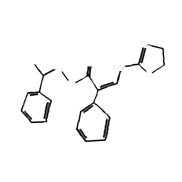 O=CC(OOC(=O)C(=CNC1=NCCN1)c1ccccc1)c1ccccc1